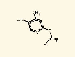 Cc1cc(OC(F)F)ncc1[N+](=O)[O-]